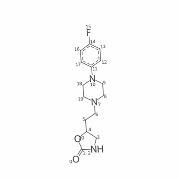 O=C1NCC(CCN2CCN(c3ccc(F)cc3)CC2)O1